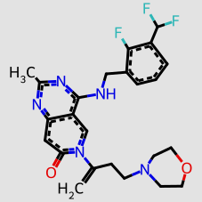 C=C(CCN1CCOCC1)n1cc2c(NCc3cccc(C(F)F)c3F)nc(C)nc2cc1=O